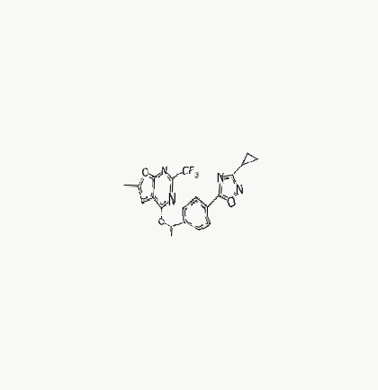 Cc1cc2c(OC(C)c3ccc(-c4nc(C5CC5)no4)cc3)nc(C(F)(F)F)nc2o1